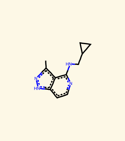 Cc1n[nH]c2ccnc(NCC3CC3)c12